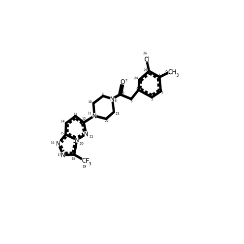 Cc1ccc(CC(=O)N2CCN(c3ccc4nnc(C(F)(F)F)n4n3)CC2)cc1Cl